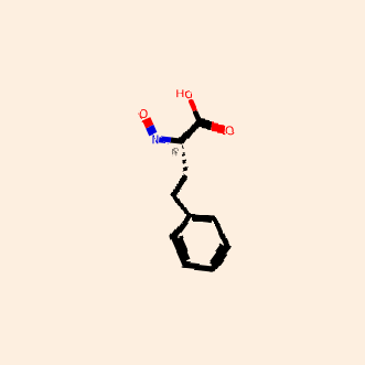 O=N[C@@H](CCc1ccccc1)C(=O)O